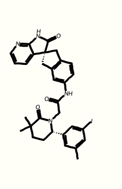 Cc1cc(I)cc([C@@H]2CCC(C)(C)C(=O)N2CC(=O)Nc2ccc3c(c2)C[C@@]2(C3)C(=O)Nc3ncccc32)c1